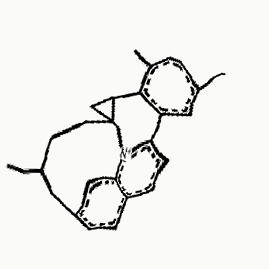 Cc1cc(C)c2c(c1)-c1ccc3ccc4cc3[n+]1C1(CCC(C)C4)CC21